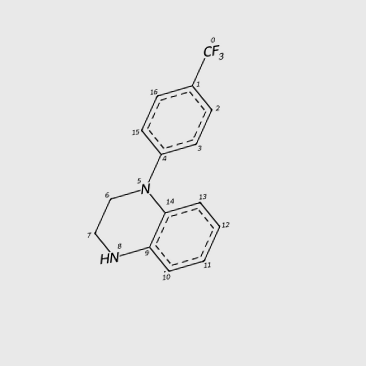 FC(F)(F)c1ccc(N2CCNc3[c]cccc32)cc1